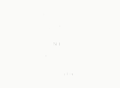 CCCCCCCC(=O)NCC(=O)CCl